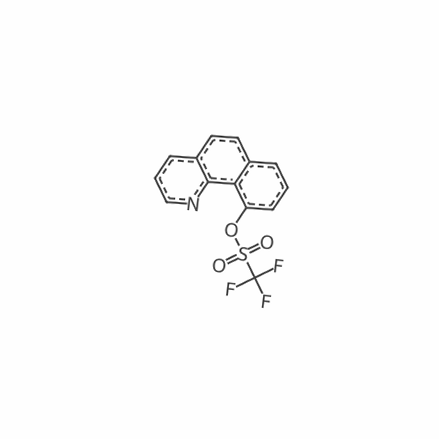 O=S(=O)(Oc1cccc2ccc3cccnc3c12)C(F)(F)F